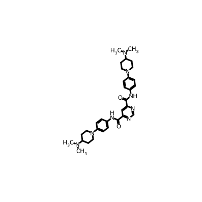 CN(C)C1CCN(c2ccc(NC(=O)c3cc(C(=O)Nc4ccc(N5CCC(N(C)C)CC5)cc4)ncn3)cc2)CC1